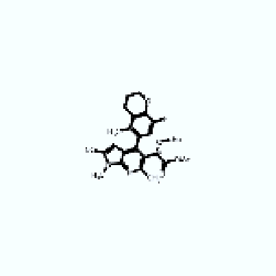 COC(=O)[C@@H](OC(C)(C)C)c1c(C)nc2c(cc(C#N)n2C)c1-c1cc(F)c2c(c1C)CCCO2